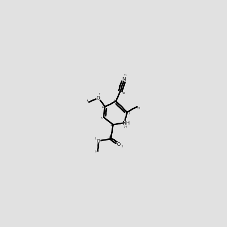 COC(=O)C1C=C(OC)C(C#N)=C(C)N1